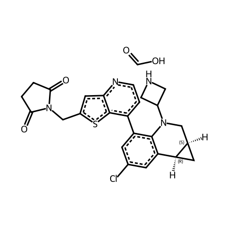 O=C1CCC(=O)N1Cc1cc2nccc(-c3cc(Cl)cc4c3N(C3CNC3)C[C@H]3C[C@@H]43)c2s1.O=CO